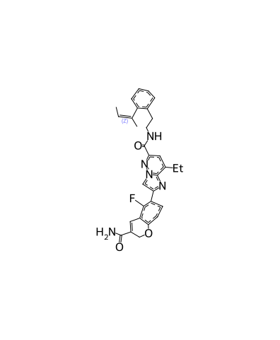 C/C=C(/C)c1ccccc1CCNC(=O)c1cc(CC)c2nc(-c3ccc4c(c3F)C=C(C(N)=O)CO4)cn2n1